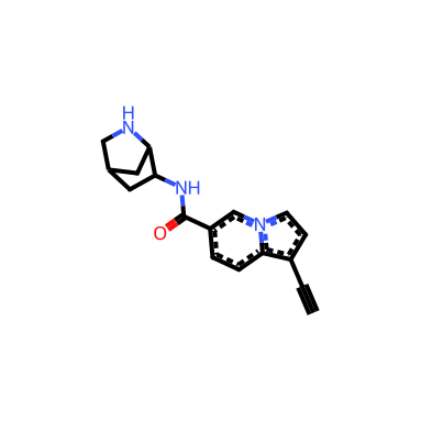 C#Cc1ccn2cc(C(=O)NC3CC4CNC3C4)ccc12